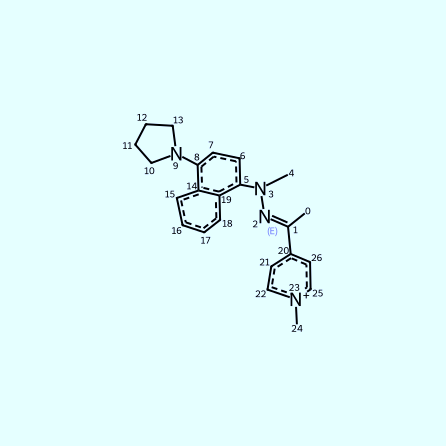 C/C(=N\N(C)c1ccc(N2CCCC2)c2ccccc12)c1cc[n+](C)cc1